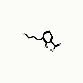 CCCOc1cccc(C(C)=O)c1O